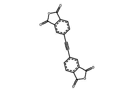 O=C1OC(=O)c2cc(C#Cc3ccc4c(c3)C(=O)OC4=O)ccc21